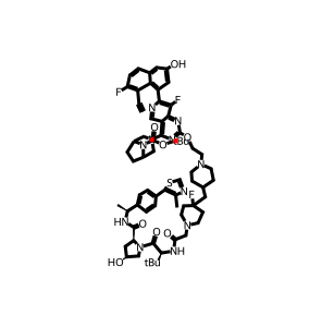 C#Cc1c(F)ccc2cc(O)cc(-c3ncc4c(N5CC6CCC(C5)N6C(=O)OC(C)(C)C)nc(OCCN5CCC(CC6(F)CCN(CC(=O)N[C@H](C(=O)N7C[C@H](O)C[C@H]7C(=O)N[C@@H](C)c7ccc(-c8scnc8C)cc7)C(C)(C)C)CC6)CC5)nc4c3F)c12